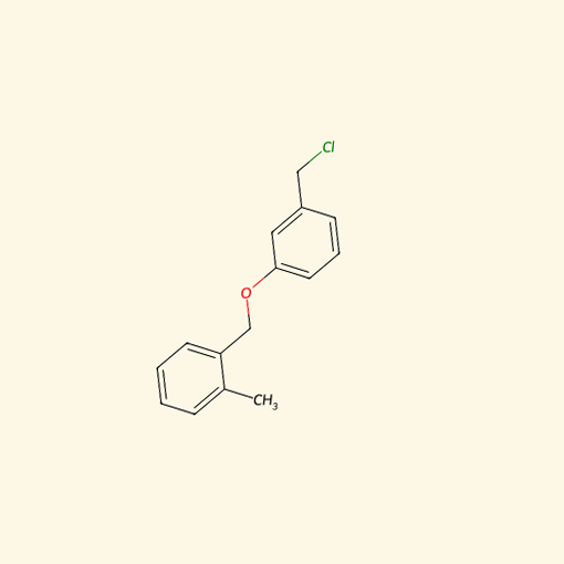 Cc1ccccc1COc1cccc(CCl)c1